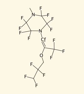 CN1C(F)(F)C(F)(F)[N](/[Cf]=[C](\OCC(F)(F)C(F)F)C(F)(F)F)C(F)(F)C1(F)F